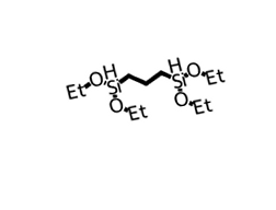 CCO[SiH](CCC[SiH](OCC)OCC)OCC